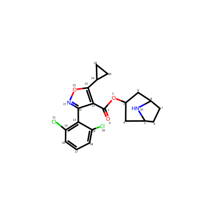 O=C(OC1CC2CCC(C1)N2)c1c(-c2c(Cl)cccc2Cl)noc1C1CC1